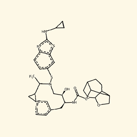 CC(C1CC1)N(C[C@@H](O)[C@H](Cc1ccccc1)NC(=O)OC1C2CCC3C(OC2)OCC31)Sc1ccc2nc(NC3CC3)sc2c1